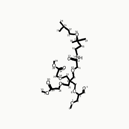 COCC(C=O)OCC(COCC(=O)NCCC(C)(C)OCCC(C)C)(COCC(=O)OC)COCC(=O)OC